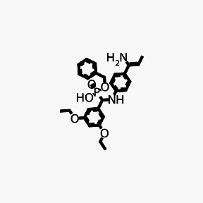 CC=C(N)c1ccc(NC(c2cc(OCC)cc(OCC)c2)P(=O)(O)OCc2ccccc2)cc1